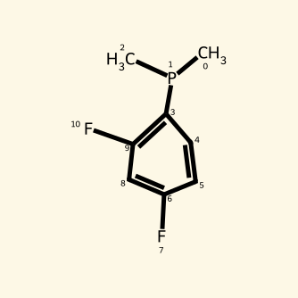 CP(C)c1ccc(F)cc1F